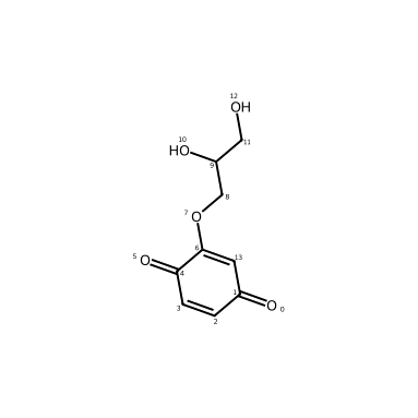 O=C1C=CC(=O)C(OCC(O)CO)=C1